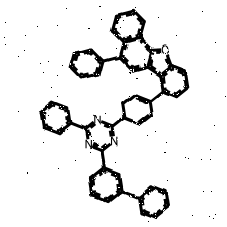 C1=CC(c2nc(-c3ccccc3)nc(-c3cccc(-c4ccccc4)c3)n2)CC=C1c1cccc2oc3c4ccccc4c(-c4ccccc4)cc3c12